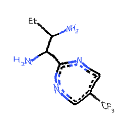 CCC(N)C(N)c1ncc(C(F)(F)F)cn1